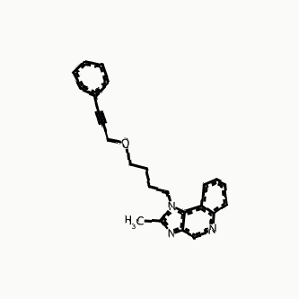 Cc1nc2cnc3ccccc3c2n1CCCCOCC#Cc1ccccc1